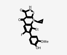 CCc1c(-c2ccc(O)c(OC)c2)c(F)cc2c(=O)c3c(=O)[nH]sc3n(C3CC3)c12